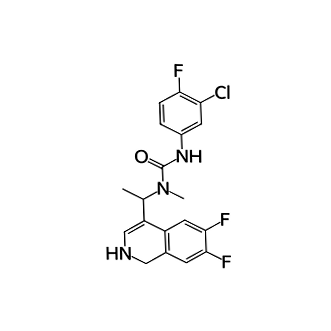 CC(C1=CNCc2cc(F)c(F)cc21)N(C)C(=O)Nc1ccc(F)c(Cl)c1